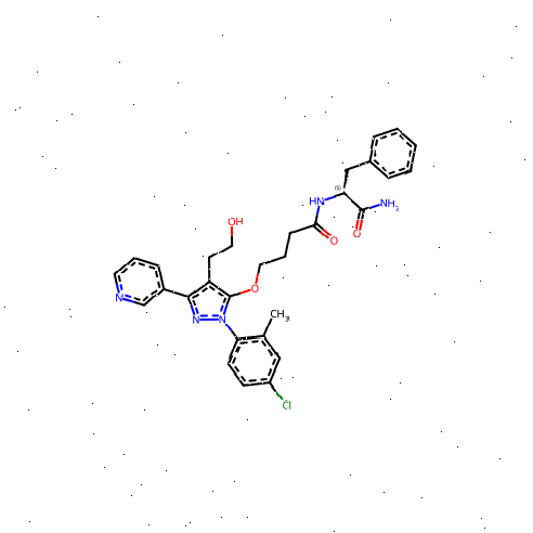 Cc1cc(Cl)ccc1-n1nc(-c2cccnc2)c(CCO)c1OCCCC(=O)N[C@@H](Cc1ccccc1)C(N)=O